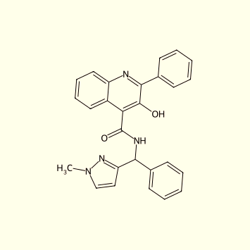 Cn1ccc(C(NC(=O)c2c(O)c(-c3ccccc3)nc3ccccc23)c2ccccc2)n1